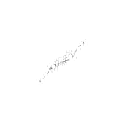 C=C(C)C(=O)OCCOCCNC(=O)OCC(F)(F)C(F)(F)C(F)(F)C(F)(F)C(F)(F)C(F)(F)COC(=O)NCCOCCOC(=O)C(=C)C